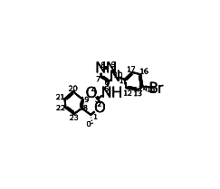 C[C@@H](OC(=O)Nc1cnnn1-c1ccc(Br)cc1)c1ccccc1